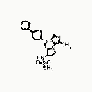 Cc1ncsc1N1CC[C@H](NS(C)(=O)=O)[C@@H]1COC1CCC(c2ccccc2)CC1